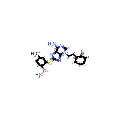 COc1ccc(C)cc1Sc1nc2c(N)ncn(CCc3ccccc3Cl)c-2n1